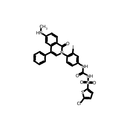 CNc1ccc2c(=O)n(-c3ccc(NC(=O)NS(=O)(=O)c4ccc(Cl)s4)cc3I)cc(-c3ccccc3)c2c1